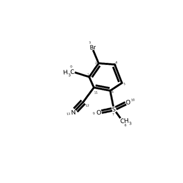 Cc1c(Br)ccc(S(C)(=O)=O)c1C#N